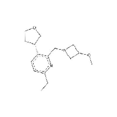 CCc1ccc([C@@H]2CCOC2)c(CN2CC(OC)C2)n1